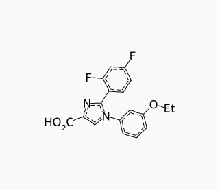 CCOc1cccc(-n2cc(C(=O)O)nc2-c2ccc(F)cc2F)c1